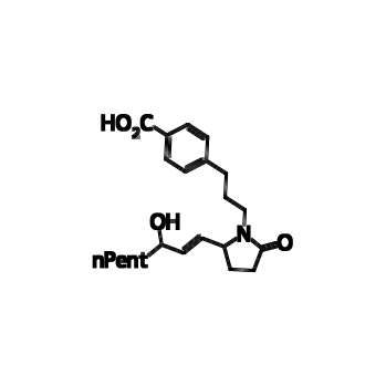 CCCCCC(O)C=CC1CCC(=O)N1CCCc1ccc(C(=O)O)cc1